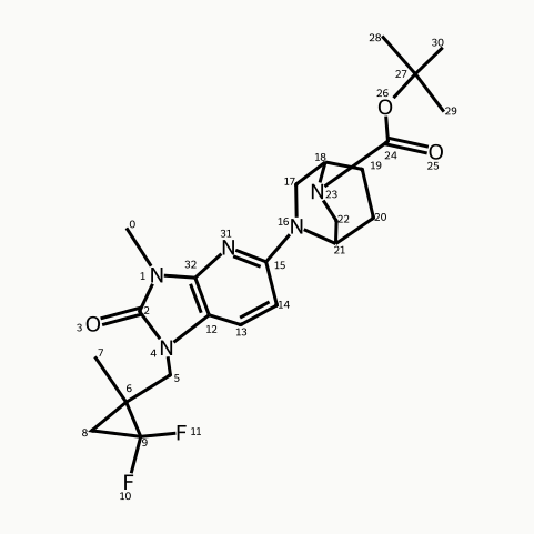 Cn1c(=O)n(CC2(C)CC2(F)F)c2ccc(N3CC4CCC3CN4C(=O)OC(C)(C)C)nc21